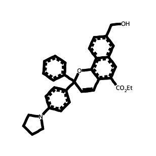 CCOC(=O)c1cc2cc(CO)ccc2c2c1C=CC(c1ccccc1)(c1ccc(N3CCCC3)cc1)O2